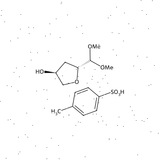 COC(OC)[C@H]1C[C@H](O)CO1.Cc1ccc(S(=O)(=O)O)cc1